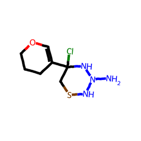 NN1NSCC(Cl)(C2=COCCC2)N1